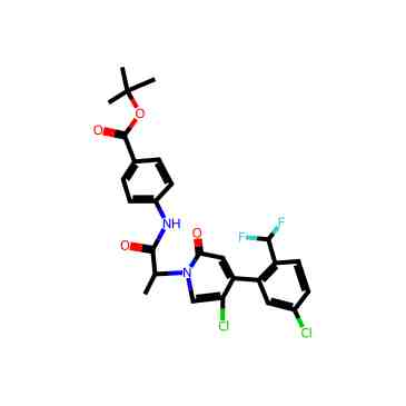 CC(C(=O)Nc1ccc(C(=O)OC(C)(C)C)cc1)n1cc(Cl)c(-c2cc(Cl)ccc2C(F)F)cc1=O